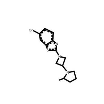 CC1CCCN1C1CN(c2nc3ccc(Br)cc3s2)C1